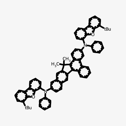 CC(C)(C)c1cccc2c1oc1c(N(c3ccccc3)c3ccc4cc5c(cc4c3)C(C)(C)c3c-5c4ccccc4c4cc(N(c5ccccc5)c5cccc6c5oc5c(C(C)(C)C)cccc56)ccc34)cccc12